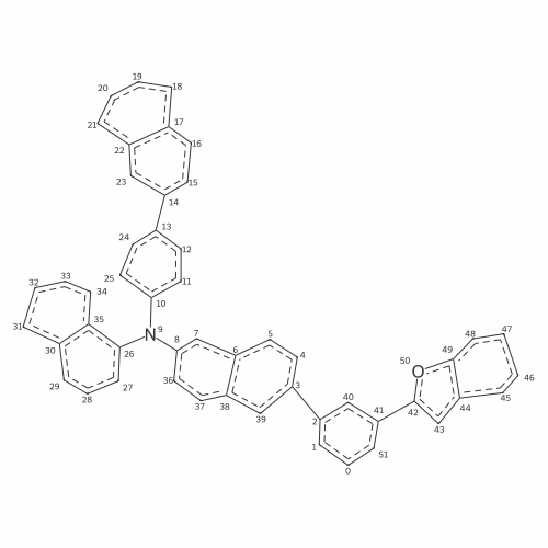 c1cc(-c2ccc3cc(N(c4ccc(-c5ccc6ccccc6c5)cc4)c4cccc5ccccc45)ccc3c2)cc(-c2cc3ccccc3o2)c1